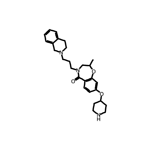 CC1CN(CCCN2CCc3ccccc3C2)C(=O)c2ccc(OC3CCNCC3)cc2O1